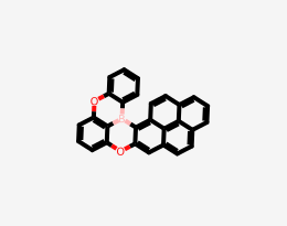 c1ccc2c(c1)Oc1cccc3c1B2c1c(cc2ccc4cccc5ccc1c2c45)O3